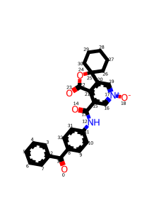 O=C(c1ccccc1)c1ccc(NC(=O)c2c[n+]([O-])cc3c2C(=O)OC32CCCCC2)cc1